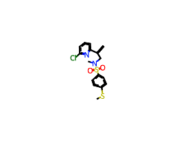 C=C(CN(C)S(=O)(=O)c1ccc(SC)cc1)c1cccc(Cl)n1